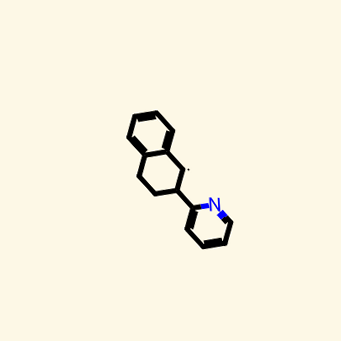 [CH]1c2ccccc2CCC1c1ccccn1